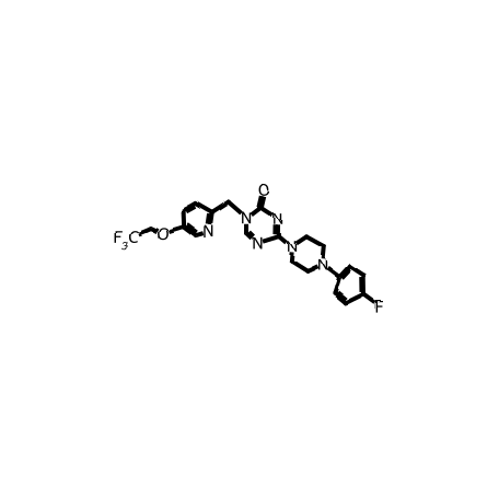 O=c1nc(N2CCN(c3ccc(F)cc3)CC2)ncn1Cc1ccc(OCC(F)(F)F)cn1